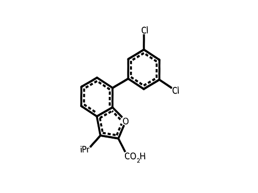 CC(C)c1c(C(=O)O)oc2c(-c3cc(Cl)cc(Cl)c3)cccc12